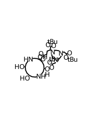 CC(C)(C)OC(=O)CN1CCN(CC(=O)OC(C)(C)C)CCN(C(CCC(=O)OC2(O)CCNCCC(O)CCC(O)CCNCCC(O)CC2)C(=O)OC(C)(C)C)CC1